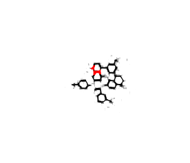 CC(C)(C)c1ccc(N2c3cc(C(C)(C)C)cc4c3B(c3ccc5c(c3N4c3ccc(C(C)(C)C)cc3-c3ccccc3)C(C)(C)CCC5(C)C)c3c2sc2ccc(C(C)(C)C)cc32)cc1